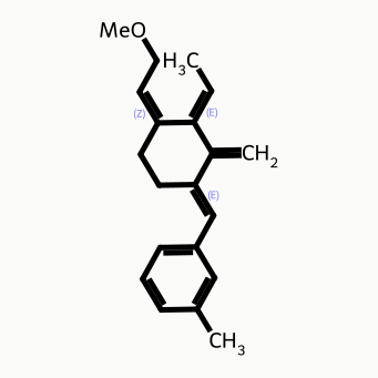 C=C1/C(=C/c2cccc(C)c2)CCC(=C/COC)/C1=C\C